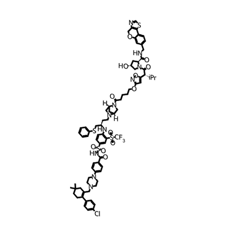 CC(C)[C@@H](C(=O)N1C[C@H](O)C[C@H]1C(=O)NCc1ccc2c(c1)OCc1ncsc1-2)c1cc(OCCCCC(=O)N2C[C@H]3C[C@@H]2CN3CC[C@H](CSc2ccccc2)Nc2ccc(S(=O)(=O)NC(=O)c3ccc(N4CCN(CC5=C(c6ccc(Cl)cc6)CCC(C)(C)C5)CC4)cc3)cc2S(=O)(=O)C(F)(F)F)no1